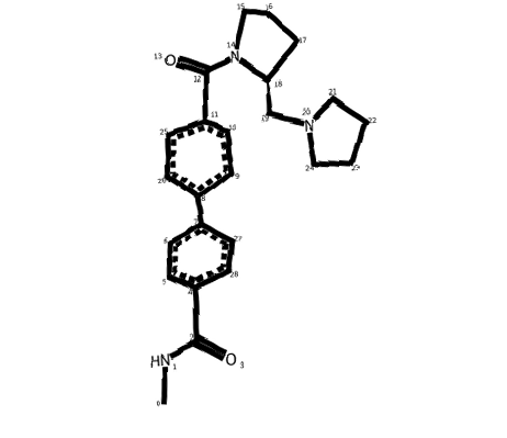 CNC(=O)c1ccc(-c2ccc(C(=O)N3CCC[C@H]3CN3CCCC3)cc2)cc1